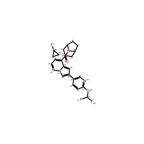 O=C([C@@H]1C[C@H]1F)N1C2CCC1CN(c1ccnn3cc(-c4ccc(OC(F)F)nc4)cc13)C2